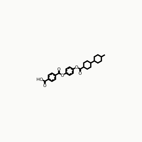 CC1CCC(C2CCC(C(=O)Oc3ccc(OC(=O)c4ccc(C(=O)O)cc4)cc3)CC2)CC1